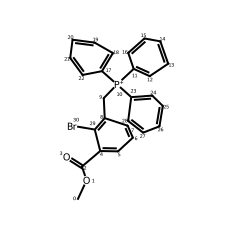 COC(=O)c1cccc(C[P+](c2ccccc2)(c2ccccc2)c2ccccc2)c1Br